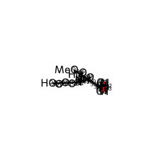 COCCNC(=O)CCN(Cc1cn(CCOCCOCCOCCO)nn1)C(=O)CCCCCN1C(=O)[C@@H]2[C@H](C1=O)[C@H]1C=C[C@@H]2C1